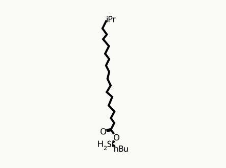 CCCC[SiH2]OC(=O)CCCCCCCCCCCCCCCCC(C)C